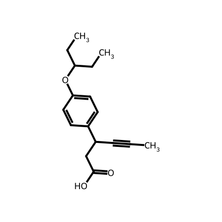 CC#CC(CC(=O)O)c1ccc(OC(CC)CC)cc1